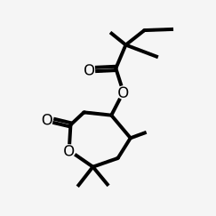 CCC(C)(C)C(=O)OC1CC(=O)OC(C)(C)CC1C